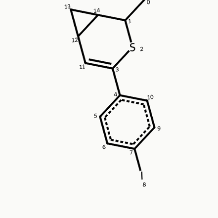 CC1SC(c2ccc(I)cc2)=CC2CC21